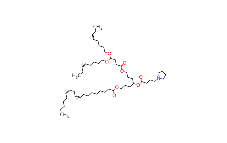 CC/C=C\CCCCOC(CCC(=O)OCCCC(CCCOC(=O)CCCCCCC/C=C\C/C=C\CCCCC)OC(=O)CCCN1CCCC1)OCCCC/C=C\CC